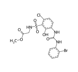 COC(=O)CNS(=O)(=O)c1c(Cl)ccc(NC(=O)Nc2ccccc2Br)c1O